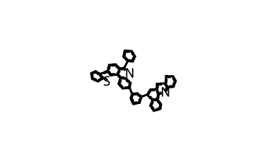 c1ccc(-c2nc3cc(-c4cccc(-c5cc6cc7ccccc7nc6c6ccccc56)c4)ccc3c3c2ccc2c4ccccc4sc23)cc1